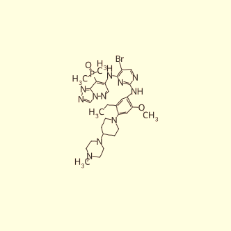 CCc1cc(Nc2ncc(Br)c(Nc3cnn4cnnc4c3P(C)(C)=O)n2)c(OC)cc1N1CCC(N2CCN(C)CC2)CC1